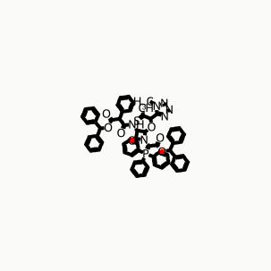 CC(=S)C(OC1C(NC(=O)C(C(=O)OC(c2ccccc2)c2ccccc2)c2ccccc2)C(=O)N1C(C(=O)OC(c1ccccc1)c1ccccc1)=P(c1ccccc1)(c1ccccc1)c1ccccc1)c1nnnn1C